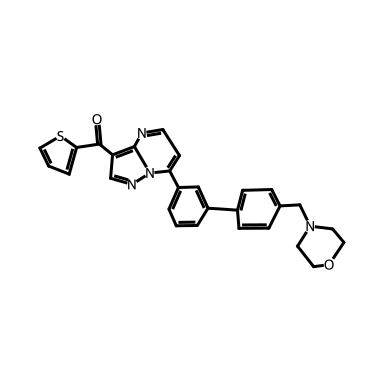 O=C(c1cccs1)c1cnn2c(-c3cccc(-c4ccc(CN5CCOCC5)cc4)c3)ccnc12